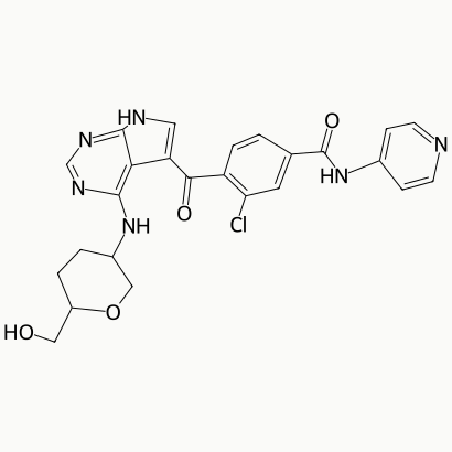 O=C(Nc1ccncc1)c1ccc(C(=O)c2c[nH]c3ncnc(NC4CCC(CO)OC4)c23)c(Cl)c1